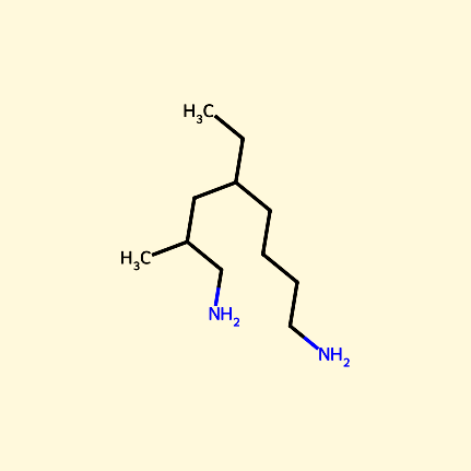 CCC(CCCCN)CC(C)CN